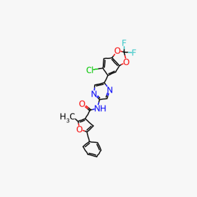 Cc1oc(-c2ccccc2)cc1C(=O)Nc1cnc(-c2cc3c(cc2Cl)OC(F)(F)O3)cn1